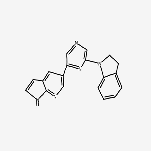 c1ccc2c(c1)CCN2c1cncc(-c2cnc3[nH]ccc3c2)n1